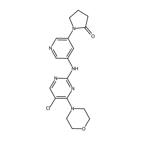 O=C1CCCN1c1cncc(Nc2ncc(Cl)c(N3CCOCC3)n2)c1